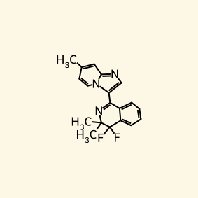 Cc1ccn2c(C3=NC(C)(C)C(F)(F)c4ccccc43)cnc2c1